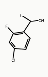 N#CC(F)c1ccc(Cl)cc1F